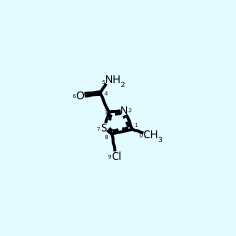 Cc1nc(C(N)=O)sc1Cl